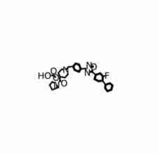 O=C(O)OC1(C(=O)N2CCCC2)CCN(Cc2ccc(-c3noc(-c4ccc(-c5ccccc5)c(F)c4)n3)cc2)CC1